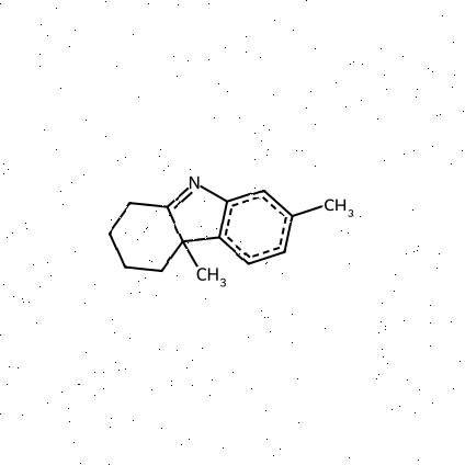 Cc1ccc2c(c1)N=C1CCCCC12C